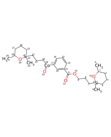 CC1CCC[Si](C)(CCCOC(=O)c2ccc[c]([Co](=[O])[CH2]CC[Si]3(C)CCCC(C)O3)c2)O1